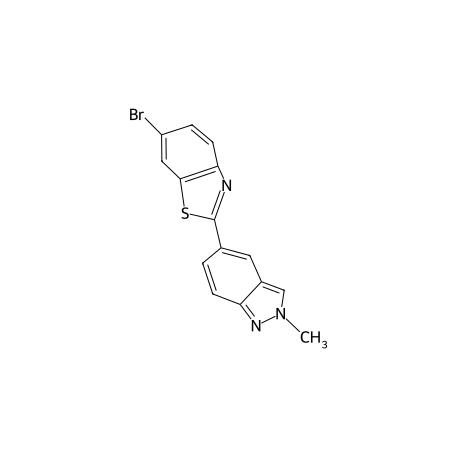 Cn1cc2cc(-c3nc4ccc(Br)cc4s3)ccc2n1